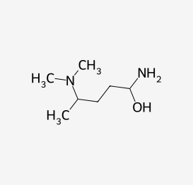 CC(CCC(N)O)N(C)C